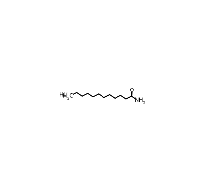 CCCCCCCCCCCC(N)=O.[LiH]